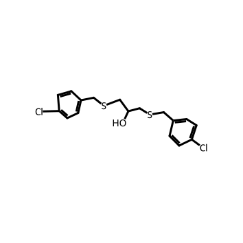 OC(CSCc1ccc(Cl)cc1)CSCc1ccc(Cl)cc1